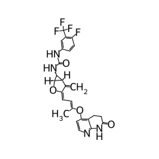 C=C1/C(=C\C=C(/C)Oc2ccnc3c2CCC(=O)N3)O[C@@H]2[C@@H](NC(=O)Nc3ccc(F)c(C(F)(F)F)c3)[C@H]12